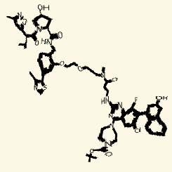 Cc1cc([C@@H](C(=O)N2C[C@H](O)C[C@H]2C(=O)NCc2ccc(-c3scnc3C)cc2OCCOCCN(C)C(=O)CCNc2nc(N3CCN(C(=O)OC(C)(C)C)CC3)c3cc(Cl)c(-c4cc(O)cc5ccccc45)c(F)c3n2)C(C)C)on1